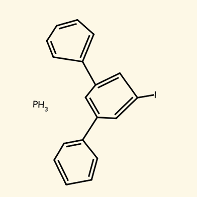 Ic1cc(-c2ccccc2)cc(-c2ccccc2)c1.P